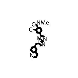 CNC(=O)c1ccc(-c2cnc3ncc(Cc4ccc5ncccc5c4)n3n2)cc1Cl